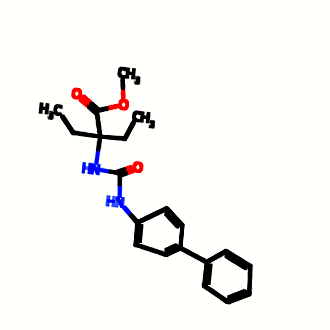 CCC(CC)(NC(=O)Nc1ccc(-c2ccccc2)cc1)C(=O)OC